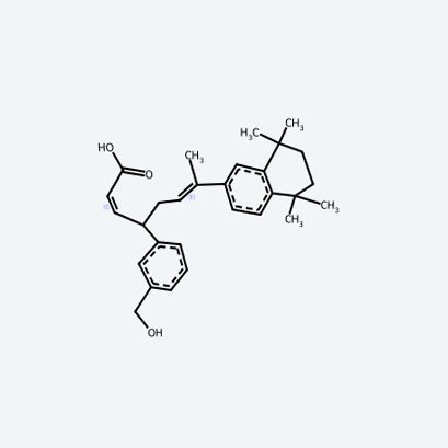 C/C(=C\CC(/C=C\C(=O)O)c1cccc(CO)c1)c1ccc2c(c1)C(C)(C)CCC2(C)C